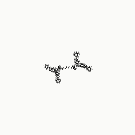 O=C(CCCCCCCCC(=O)OCC(c1ccc(OCc2ccccc2)cc1)c1ccc(OCc2ccccc2)cc1)OCC(c1ccc(OCc2ccccc2)cc1)c1ccc(OCc2ccccc2)cc1